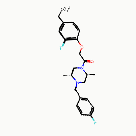 C[C@@H]1CN(C(=O)COc2ccc(CC(=O)O)cc2F)[C@@H](C)CN1Cc1ccc(F)cc1